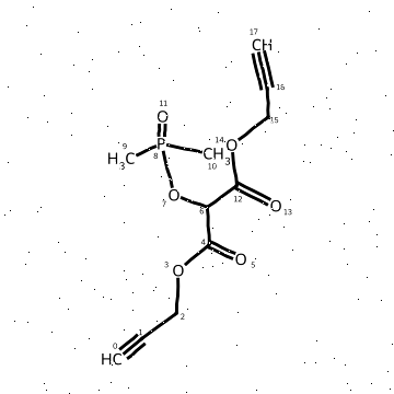 C#CCOC(=O)C(OP(C)(C)=O)C(=O)OCC#C